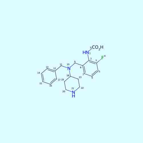 O=C(O)Nc1c(F)cccc1CN(Cc1ccccc1)C1CCNCC1